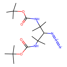 CC(C)(C)OC(=O)NC(C)(C)C(N=[N+]=[N-])C(C)(C)NC(=O)OC(C)(C)C